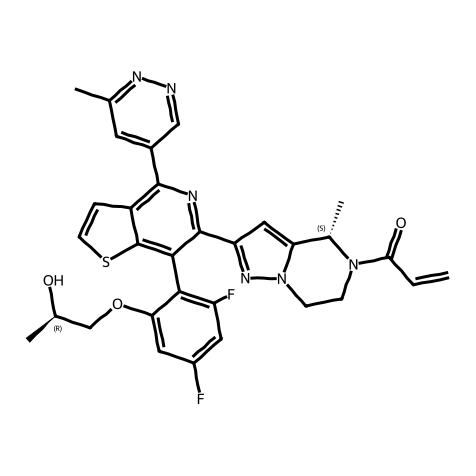 C=CC(=O)N1CCn2nc(-c3nc(-c4cnnc(C)c4)c4ccsc4c3-c3c(F)cc(F)cc3OC[C@@H](C)O)cc2[C@@H]1C